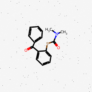 CN(C)C(=O)Sc1ccccc1C(=O)c1ccccc1